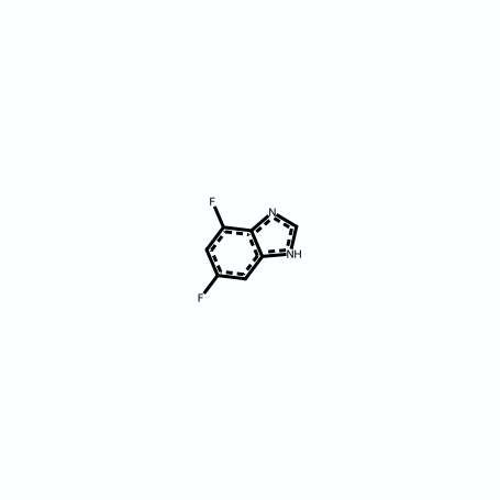 Fc1cc(F)c2nc[nH]c2c1